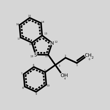 C=CCC(O)(c1ccccc1)c1nc2ccccc2s1